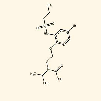 CCCS(=O)(=O)Nc1cc(Br)cnc1OCCN(C(=O)O)C(C)C